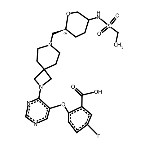 CCS(=O)(=O)NC1CC[C@@H](CN2CCC3(CC2)CN(c2ncncc2Oc2ccc(F)cc2C(=O)O)C3)OC1